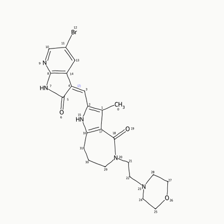 Cc1c(/C=C2\C(=O)Nc3ncc(Br)cc32)[nH]c2c1C(=O)N(CCN1CCOCC1)CCC2